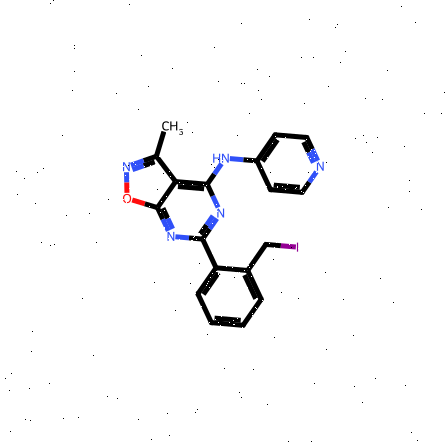 Cc1noc2nc(-c3ccccc3CI)nc(Nc3ccncc3)c12